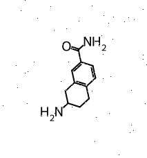 NC(=O)c1ccc2c(c1)CC(N)CC2